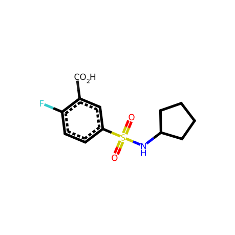 O=C(O)c1cc(S(=O)(=O)NC2CCCC2)ccc1F